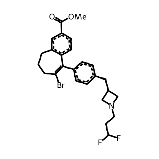 COC(=O)c1ccc2c(c1)CCCC(Br)=C2c1ccc(CC2CN(CCC(F)F)C2)cc1